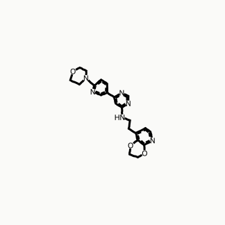 c1nc(NCCc2ccnc3c2OCCO3)cc(-c2ccc(N3CCOCC3)nc2)n1